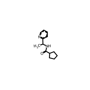 CC(NC(=O)C1CCCC1)c1ccccn1